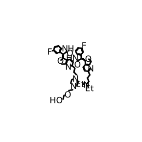 CCN(CC)CCCc1ccc2c(n1)COC2=C1C(=O)Nc2ccc(F)cc21.O=C1Nc2ccc(F)cc2C1=C1OCc2nc(CCCN3CCN(CCOCCO)CC3)ccc21